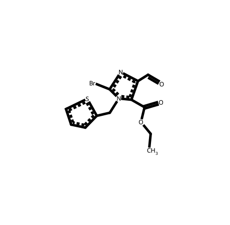 CCOC(=O)c1c(C=O)nc(Br)n1Cc1cccs1